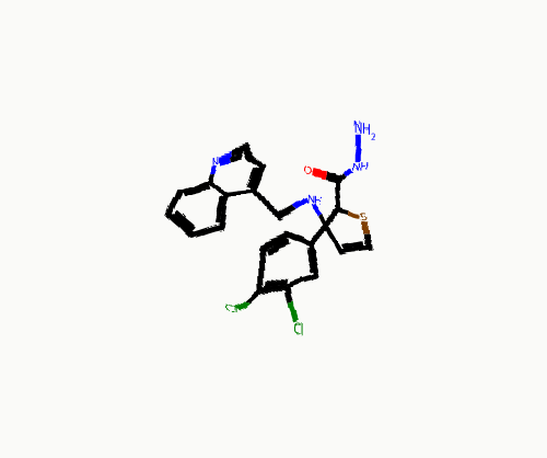 NNC(=O)C1SC=CC1(NCc1ccnc2ccccc12)c1ccc(Cl)c(Cl)c1